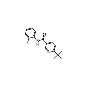 Cc1ccccc1NC(=O)c1ccc(C(C)(C)C)cc1